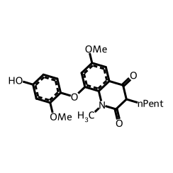 CCCCCC1C(=O)c2cc(OC)cc(Oc3ccc(O)cc3OC)c2N(C)C1=O